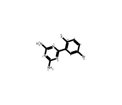 Nc1nc(N)nc(-c2cc(Br)ccc2F)n1